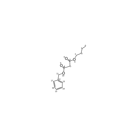 CCCCOC(=O)CC(=O)OCc1ccccc1